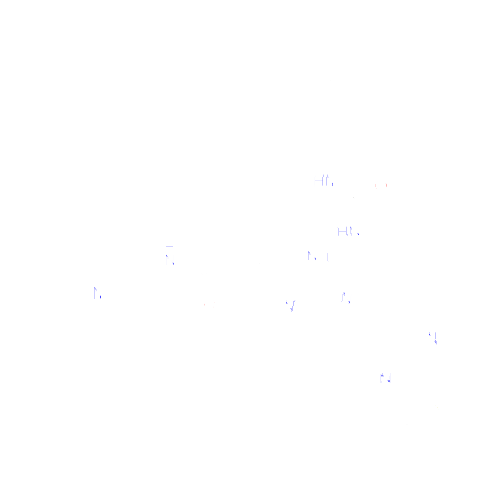 CN(C)CCNC(=O)c1cccc(Nc2nccc(-c3c(-c4cccc(NC(=O)Nc5ccccc5)c4)nc4sccn34)n2)c1